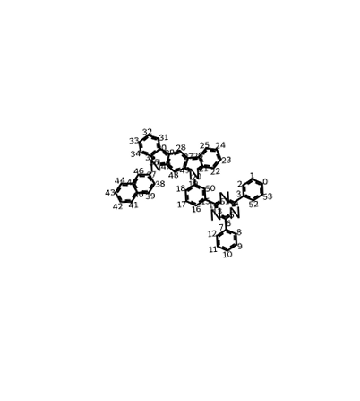 c1ccc(-c2nc(-c3ccccc3)nc(-c3cccc(-n4c5ccccc5c5cc6c7ccccc7n(-c7ccc8ccccc8c7)c6cc54)c3)n2)cc1